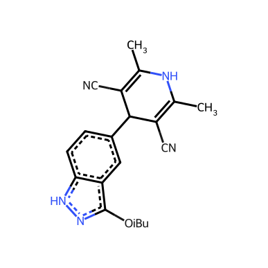 CC1=C(C#N)C(c2ccc3[nH]nc(OCC(C)C)c3c2)C(C#N)=C(C)N1